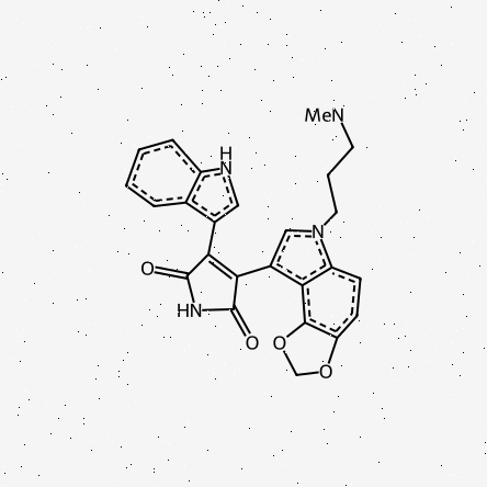 CNCCCn1cc(C2=C(c3c[nH]c4ccccc34)C(=O)NC2=O)c2c3c(ccc21)OCO3